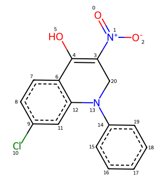 O=[N+]([O-])C1=C(O)c2ccc(Cl)cc2N(c2ccccc2)C1